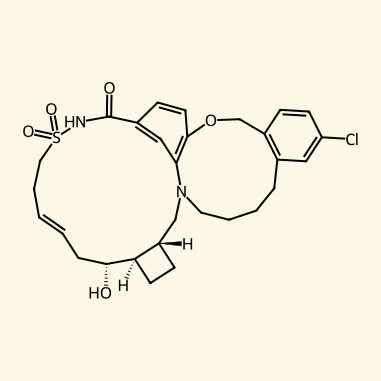 O=C1NS(=O)(=O)CC/C=C/C[C@@H](O)[C@@H]2CC[C@H]2CN2CCCCc3cc(Cl)ccc3COc3ccc1cc32